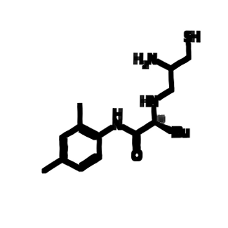 CCC(C)[C@H](NCC(N)CS)C(=O)Nc1ccc(C)cc1C